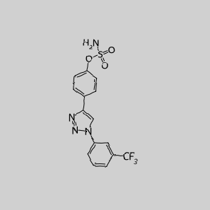 NS(=O)(=O)Oc1ccc(-c2cn(-c3cccc(C(F)(F)F)c3)nn2)cc1